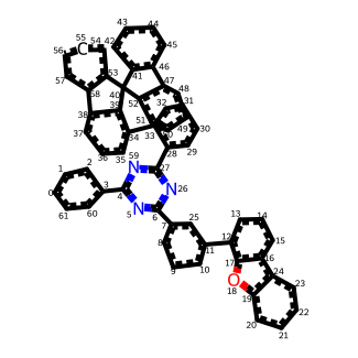 c1ccc(-c2nc(-c3cccc(-c4cccc5c4oc4ccccc45)c3)nc(-c3ccccc3-c3cccc4c3C3(c5ccccc5-c5ccccc53)c3ccccc3-4)n2)cc1